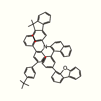 CC(C)(C)c1ccc(-c2ccc(N(c3ccc4c(c3)-c3ccccc3C4(C)C)c3ccc4ccccc4c3-c3cccc(-c4cccc5c4oc4ccccc45)c3)c(-c3ccccc3)c2)cc1